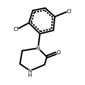 O=C1CNCCN1c1cc(Cl)ccc1Cl